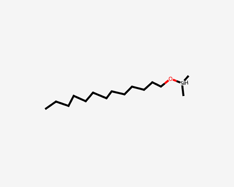 CCCCCCCCCCCCCO[SiH](C)C